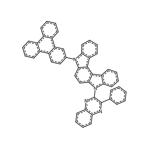 c1ccc(-c2nc3ccccc3nc2-n2c3ccccc3c3c4c5ccccc5n(-c5ccc6c7ccccc7c7ccccc7c6c5)c4ccc32)cc1